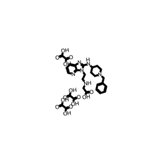 O=C(O)C(=O)O.O=C(O)C(=O)O.O=C(O)C(=O)O.O=C(O)CNCCn1c(NC2CCN(Cc3ccccc3)CC2)nc2cccnc21